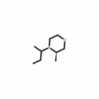 CCC(C)N1CCOC[C@H]1C